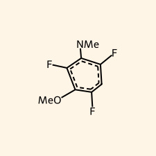 CNc1c(F)cc(F)c(OC)c1F